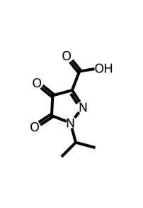 CC(C)N1N=C(C(=O)O)C(=O)C1=O